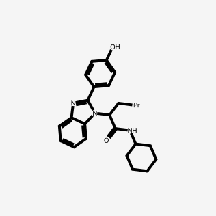 CC(C)CC(C(=O)NC1CCCCC1)n1c(-c2ccc(O)cc2)nc2ccccc21